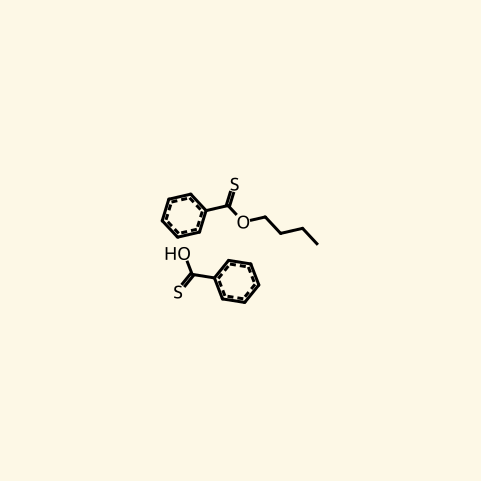 CCCCOC(=S)c1ccccc1.OC(=S)c1ccccc1